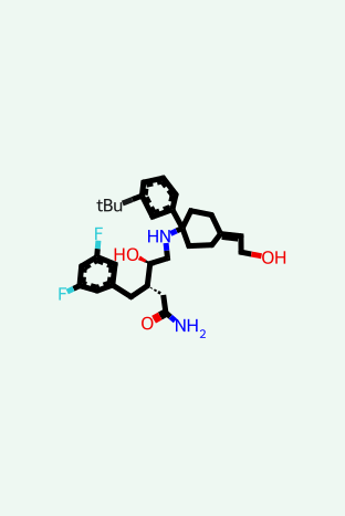 CC(C)(C)c1cccc(C2(NC[C@H](O)[C@H](CC(N)=O)Cc3cc(F)cc(F)c3)CCC(=CCO)CC2)c1